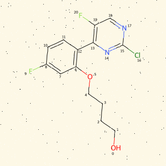 OCCCCOc1cc(F)ccc1-c1nc(Cl)ncc1F